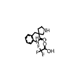 O=C(O)C(F)(F)F.O=C1Nc2ccccc2CC12CCNC2